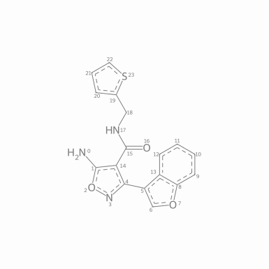 Nc1onc(-c2coc3ccccc23)c1C(=O)NCc1cccs1